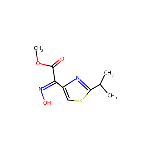 COC(=O)/C(=N/O)c1csc(C(C)C)n1